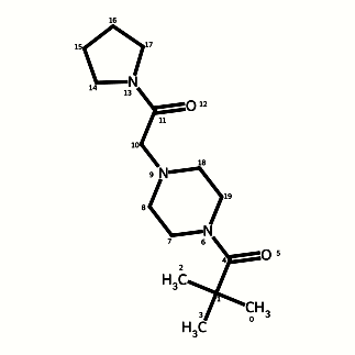 CC(C)(C)C(=O)N1CCN(CC(=O)N2CCCC2)CC1